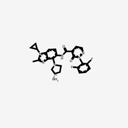 Cc1nc2c(N3CC[C@H](N)C3)c(NC(=O)c3ccnn(-c4c(F)cccc4F)c3=O)ccc2n1C1CC1